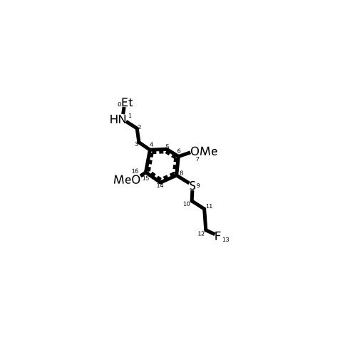 CCNCCc1cc(OC)c(SCCCF)cc1OC